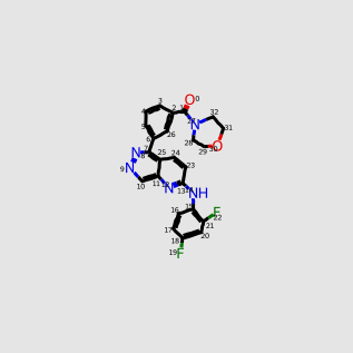 O=C(c1cccc(-c2nncc3nc(Nc4ccc(F)cc4F)ccc23)c1)N1CCOCC1